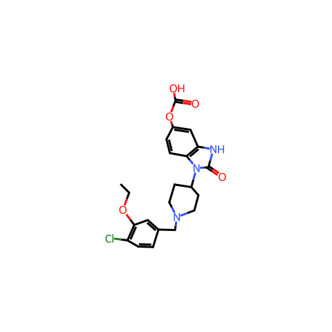 CCOc1cc(CN2CCC(n3c(=O)[nH]c4cc(OC(=O)O)ccc43)CC2)ccc1Cl